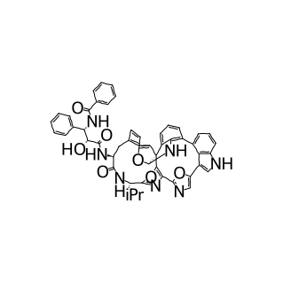 CC(C)[C@@H]1NC(=O)[C@@H](NC(=O)[C@H](O)[C@@H](NC(=O)c2ccccc2)c2ccccc2)Cc2ccc3c(c2)[C@]24c5cccc(c5NC2O3)-c2cccc3[nH]cc(c23)-c2cnc(o2)-c2nc1oc24